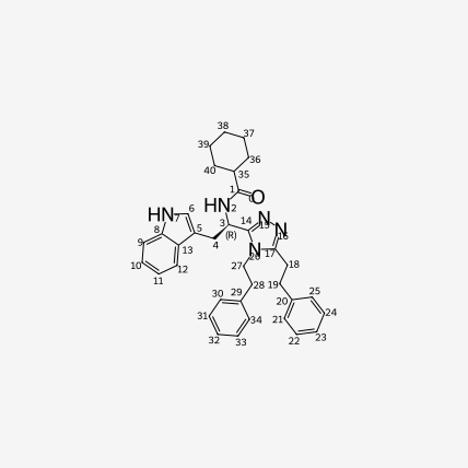 O=C(N[C@H](Cc1c[nH]c2ccccc12)c1nnc(CCc2ccccc2)n1CCc1ccccc1)C1CCCCC1